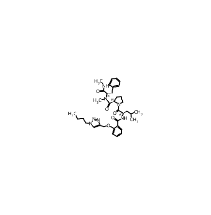 CCCCn1cc(COc2ccccc2C(=O)N[C@H](CC(C)C)C(=O)N2CCC[C@@H]2C(=O)N(C)[C@@H](Cc2ccccc2)C(=O)NC)nn1